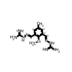 COc1c(C=NNC(=N)N)cc(C)cc1C=NNC(=N)N